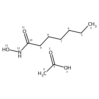 CC(=O)O.CCCCCCC(=O)NO